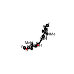 CN[C@@H](C)C(=O)N[C@@H](Cc1ccc(NC(=O)CCCCCC(=O)Nc2ccc(C[C@H](NC(=O)[C@H](C)NC)C(=O)N3CCC[C@H]3c3cncc(C(=O)c4ccc(F)cc4)c3)cc2)cc1)C(=O)N1CCC[C@H]1c1cncc(C(=O)c2ccc(F)cc2)c1